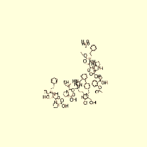 CC(=O)Oc1ccccc1C(=O)O.CCCCc1nc(Cl)c(CO)n1Cc1ccc(-c2ccccc2-c2nnn[nH]2)cc1.CCOC(=O)[C@H](CCc1ccccc1)N[C@@H](C)C(=O)N1[C@H](C(=O)O)C[C@@H]2CCC[C@@H]21.C[C@H](CS)C(=O)N1CCC[C@H]1C(=O)O.C[C@H](N[C@@H](CCc1ccccc1)C(=O)O)C(=O)N1CCC[C@H]1C(=O)O.O.O